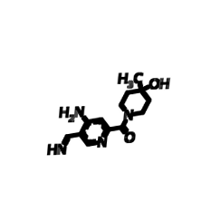 CC1(O)CCN(C(=O)c2cc(N)c(C=N)cn2)CC1